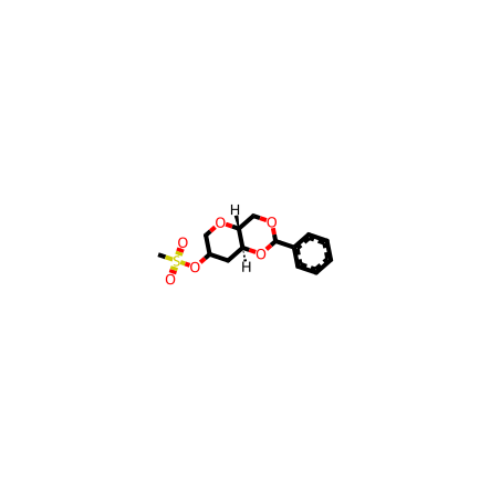 CS(=O)(=O)OC1CO[C@@H]2COC(c3ccccc3)O[C@H]2C1